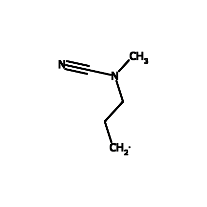 [CH2]CCN(C)C#N